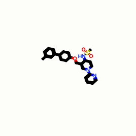 Cc1cccc(C2CCC(OCC3CN(c4ccccn4)CCC3NS(C)(=O)=O)CC2)c1